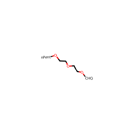 CCCCCOCCOCCOC=O